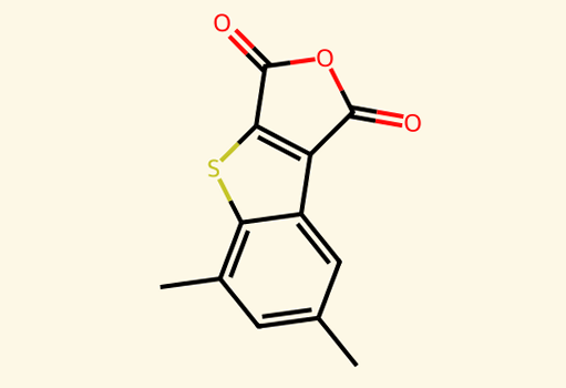 Cc1cc(C)c2sc3c(c2c1)C(=O)OC3=O